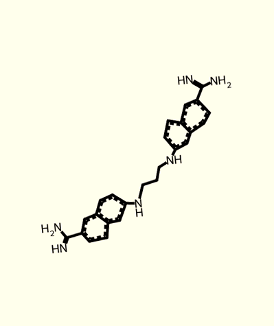 N=C(N)c1ccc2cc(NCCCNc3ccc4cc(C(=N)N)ccc4c3)ccc2c1